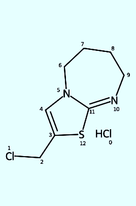 Cl.ClCC1=CN2CCCCN=C2S1